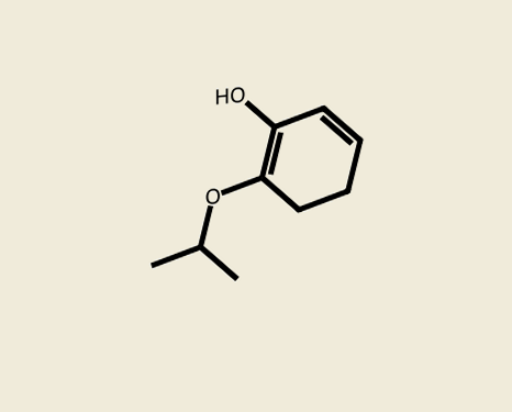 CC(C)OC1=C(O)C=CCC1